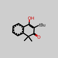 CC(C)(C)C1=C(O)c2ccccc2C(C)(C)C1=O